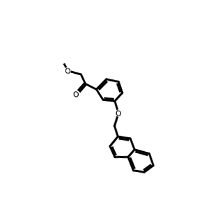 COCC(=O)c1cccc(OCc2ccc3ccccc3c2)c1